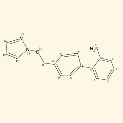 Nc1ccccc1-c1ccc(COn2cccn2)cc1